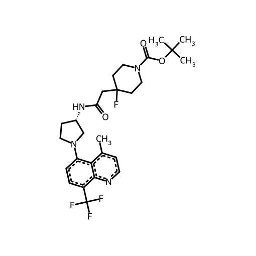 Cc1ccnc2c(C(F)(F)F)ccc(N3CC[C@H](NC(=O)CC4(F)CCN(C(=O)OC(C)(C)C)CC4)C3)c12